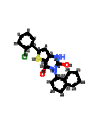 O=c1[nH]c2cc(-c3ccccc3Cl)sc2c(=O)n1-c1cccc2ccccc12